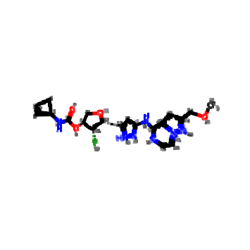 O=C(NC12CC(C1)C2)O[C@@H]1CO[C@H](c2cc(Nc3nccn4nc(COC(F)(F)F)cc34)n[nH]2)[C@@H]1F